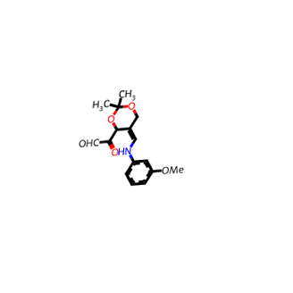 COc1cccc(NC=C2COC(C)(C)OC2C(=O)C=O)c1